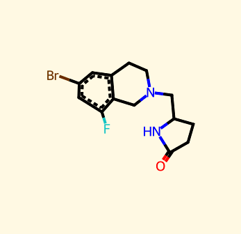 O=C1CCC(CN2CCc3cc(Br)cc(F)c3C2)N1